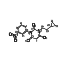 O=C1CC(=O)N(c2cccc([N+](=O)[O-])c2)C(=O)N1CCC1CC1